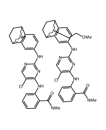 CNC(=O)c1ccccc1Nc1nc(Nc2ccc3c(c2)C2CCC3CN(CCOC)C2)ncc1Cl.CNC(=O)c1ccccc1Nc1nc(Nc2ccc3c(c2)C2CCC3CNC2)ncc1Cl